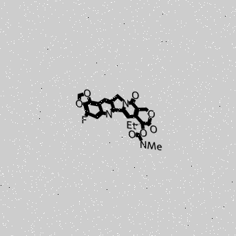 CC[C@@]1(OC(=O)NC)C(=O)OCc2c1cc1n(c2=O)Cc2cc3c4c(c(F)cc3nc2-1)OCO4